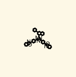 c1ccc(-c2cc(-c3nc(-c4ccc(-c5nc6ccccc6o5)cc4)nc(-c4ccc(-c5nc6ccccc6o5)cc4)n3)c3ccccc3c2)cc1